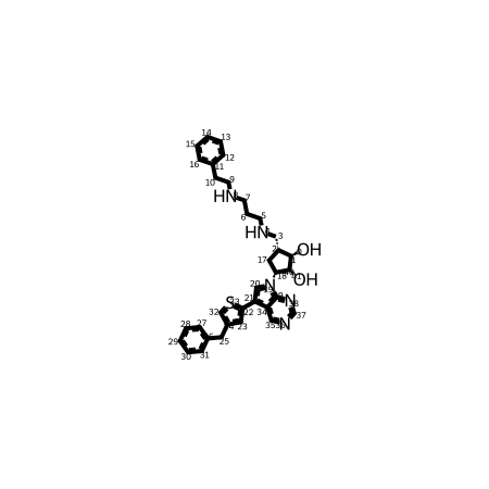 O[C@@H]1[C@@H](CNCCCNCCc2ccccc2)C[C@@H](n2cc(-c3cc(Cc4ccccc4)cs3)c3cncnc32)[C@@H]1O